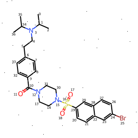 CC(C)N(CCc1ccc(C(=O)N2CCN(S(=O)(=O)c3ccc4cc(Br)ccc4c3)CC2)cc1)C(C)C